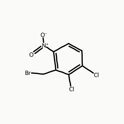 O=[N+]([O-])c1ccc(Cl)c(Cl)c1CBr